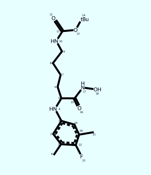 Cc1cc(NC(CCCCNC(=O)OC(C)(C)C)C(=O)NO)cc(C)c1F